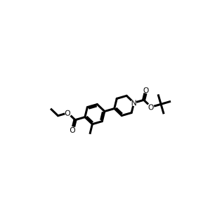 CCOC(=O)c1ccc(C2=CCN(C(=O)OC(C)(C)C)CC2)cc1C